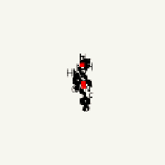 COc1ccc(CCn2cnc3cc(N/C(=N/C4C[C@@H]5C[C@H]([C@@H]4C)C5(C)C)N(C)CCc4ccncc4)ccc3c2=O)c(F)c1